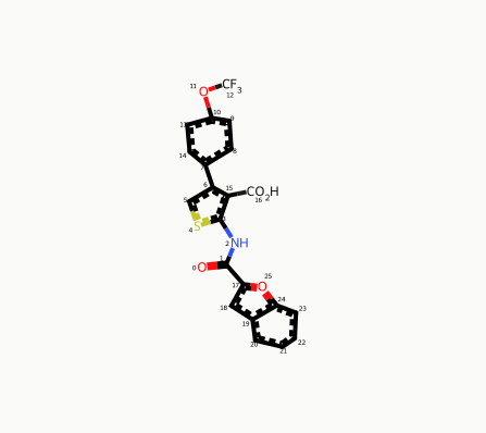 O=C(Nc1scc(-c2ccc(OC(F)(F)F)cc2)c1C(=O)O)c1cc2ccccc2o1